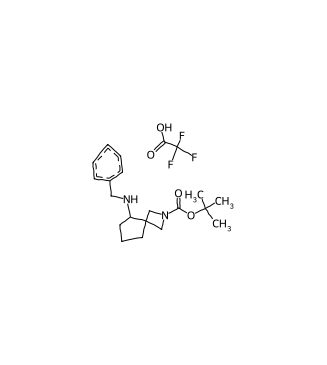 CC(C)(C)OC(=O)N1CC2(CCCC2NCc2ccccc2)C1.O=C(O)C(F)(F)F